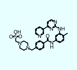 Cc1ccc(NC(=O)c2ccc(CN3CCN(CS(=O)(=O)O)CC3)cc2)cc1Nc1nccc(-c2cccnc2)n1